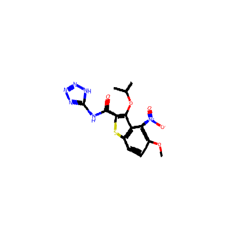 COc1ccc2sc(C(=O)Nc3nnn[nH]3)c(OC(C)C)c2c1[N+](=O)[O-]